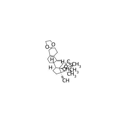 C#C[C@]1([C@@H](C)O[Si](C)(C)C)CC[C@H]2[C@@H]3CCC4=C(CCC5(C4)OCCO5)C3=CC[C@@]21C